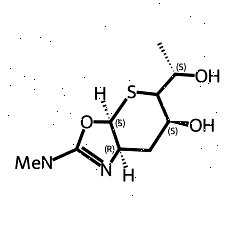 CNC1=N[C@@H]2C[C@H](O)C([C@H](C)O)S[C@@H]2O1